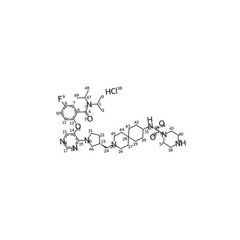 CC(C)N(C(=O)c1cc(F)ccc1Oc1cncnc1N1CC[C@@H](CN2CCC3(CCC(NS(=O)(=O)N4CCNCC4)CC3)CC2)C1)C(C)C.Cl